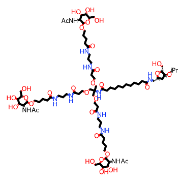 CC(=O)NC1C(OCCCCC(=O)NCCCNC(=O)CCOCC(COCCC(=O)NCCCNC(=O)CCCCOC2OC(CO)C(O)C(O)C2NC(C)=O)(COCCC(=O)NCCCNC(=O)CCCCOC2OC(CO)C(O)C(O)C2NC(C)=O)NC(=O)CCCCCCCCCCC(=O)NC[C@H]2C[C@H](OC(C)C)[C@@H](CO)O2)OC(CO)C(O)C1O